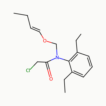 CCC=COCN(C(=O)CCl)c1c(CC)cccc1CC